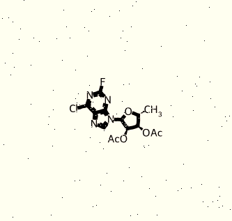 CC(=O)O[C@@H]1[C@@H](C)OC(n2cnc3c(Cl)nc(F)nc32)[C@@H]1OC(C)=O